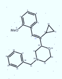 COc1ccccc1/C=C(\C1CC1)C1CN(Cc2ccccc2)CCO1